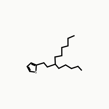 CCCCCCC(CCCCC)CCc1cccs1